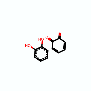 O=C1C=CC=CC1=O.Oc1ccccc1O